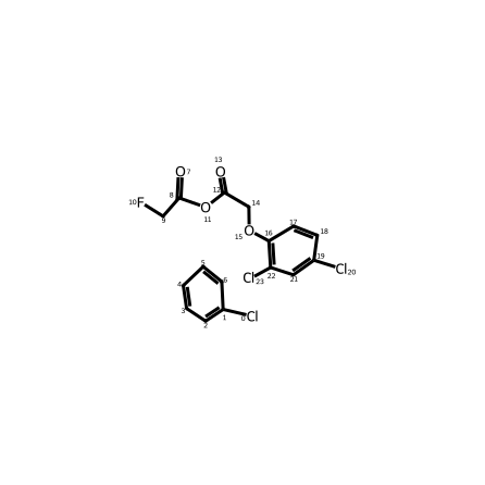 Clc1ccccc1.O=C(CF)OC(=O)COc1ccc(Cl)cc1Cl